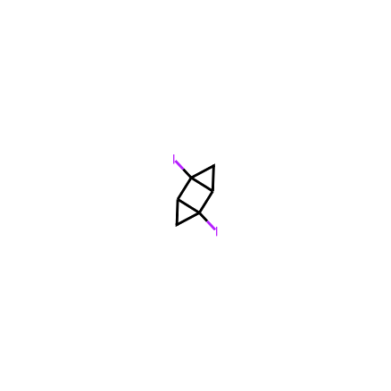 IC12CC1C1(I)CC21